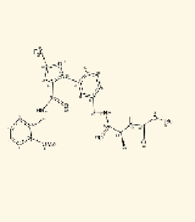 COc1ccccc1CNC(=O)c1cc(C(F)(F)F)nn1-c1cc(CNC(=O)[C@H](C)NC(=O)OC(C)(C)C)ccn1